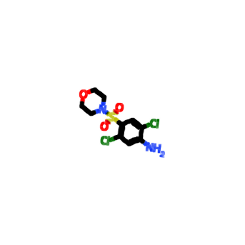 Nc1cc(Cl)c(S(=O)(=O)N2CCOCC2)cc1Cl